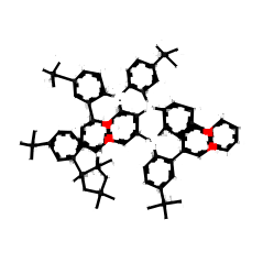 CC1(C)CC2(C)c3cc(C(C)(C)C)ccc3N(c3cc4c5c(c3)N(c3ccc(C(C)(C)C)cc3-c3ccccc3)c3cc(-c6ccccc6)ccc3B5c3cc(C(C)(C)C)ccc3N4c3ccc(C(C)(C)C)cc3-c3ccccc3)C2(C)C1